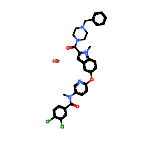 Br.CN(C(=O)c1ccc(Cl)c(Cl)c1)c1ccc(Oc2ccc3c(c2)cc(C(=O)N2CCN(Cc4ccccc4)CC2)n3C)nc1